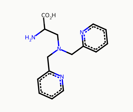 NC(CN(Cc1ccccn1)Cc1ccccn1)C(=O)O